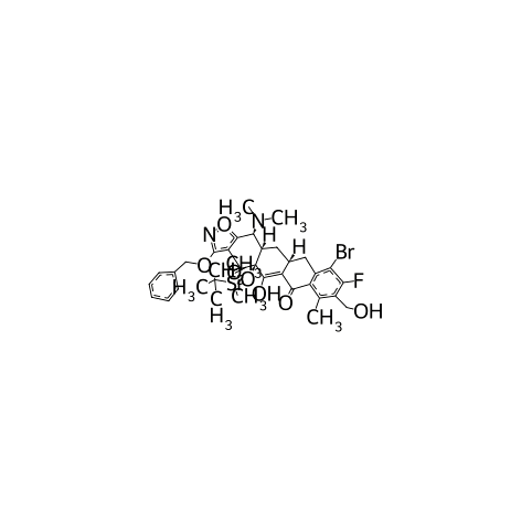 Cc1c(CO)c(F)c(Br)c2c1C(=O)C1=C(O)[C@]3(O[Si](C)(C)C(C)(C)C)C(=O)c4c(OCc5ccccc5)noc4[C@@H](N(C)C)[C@@H]3C[C@@H]1C2